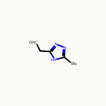 CC(C)(C)c1nnc(CC=O)[nH]1